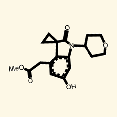 COC(=O)Cc1cc(O)cc2c1C1(CC1)C(=O)N2C1CCOCC1